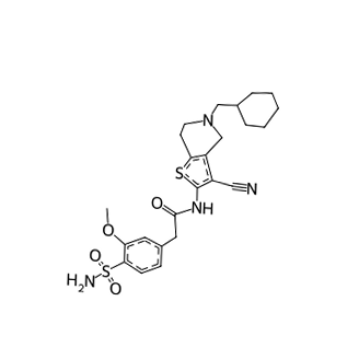 COc1cc(CC(=O)Nc2sc3c(c2C#N)CN(CC2CCCCC2)CC3)ccc1S(N)(=O)=O